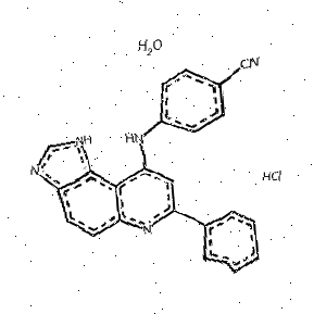 Cl.N#Cc1ccc(Nc2cc(-c3ccccc3)nc3ccc4nc[nH]c4c23)cc1.O